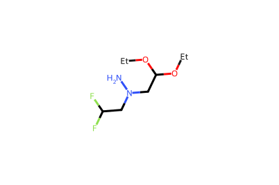 CCOC(CN(N)CC(F)F)OCC